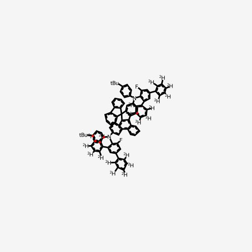 [2H]c1c([2H])c([2H])c(-c2cc(F)c(N(c3ccc(C(C)(C)C)cc3)c3ccc4c(c3)C3(c5ccccc5-c5ccccc53)c3c-4c4ccccc4c4cc(N(c5ccc(C(C)(C)C)cc5)c5c(F)cc(-c6c([2H])c([2H])c([2H])c([2H])c6[2H])cc5-c5c([2H])c([2H])c([2H])c([2H])c5[2H])ccc34)c(-c3c([2H])c([2H])c([2H])c([2H])c3[2H])c2)c([2H])c1[2H]